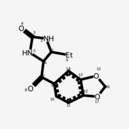 CCC1NC(=O)NC1C(=O)c1ccc2c(c1)OCO2